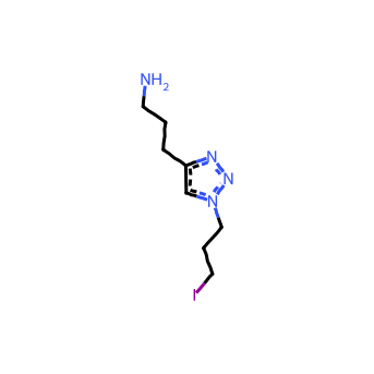 NCCCc1cn(CCCI)nn1